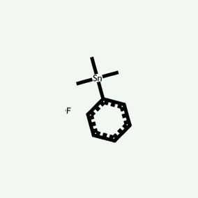 [CH3][Sn]([CH3])([CH3])[c]1ccccc1.[F]